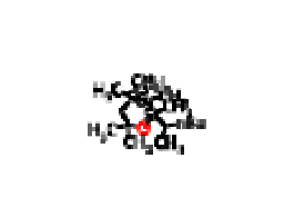 CCCCC(C)[Si]1(C)OC(C)(C)C[Si](C)(C)[Si]1(C)C